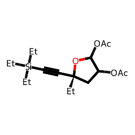 CC[C@]1(C#C[Si](CC)(CC)CC)CC(OC(C)=O)C(OC(C)=O)O1